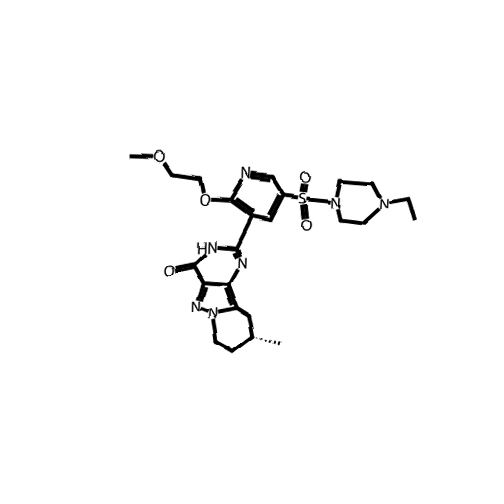 CCN1CCN(S(=O)(=O)c2cnc(OCCOC)c(-c3nc4c5n(nc4c(=O)[nH]3)CC[C@@H](C)C5)c2)CC1